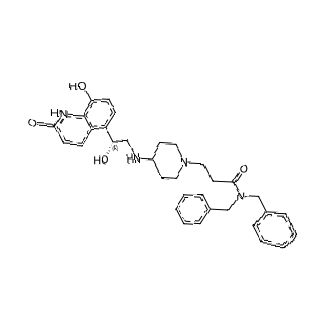 O=C(CCN1CCC(NC[C@H](O)c2ccc(O)c3[nH]c(=O)ccc23)CC1)N(Cc1ccccc1)Cc1ccccc1